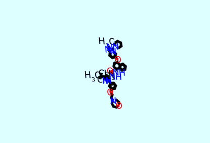 CC1CCCCN1c1nnc2ccc(O[C@@H]3CC[C@H](NC(=O)Nc4cc(C(C)(C)C)nn4-c4cccc(OCCN5CCCOCC5)c4)c4ccccc43)cn12